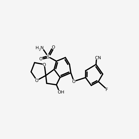 N#Cc1cc(F)cc(Oc2ccc(S(N)(=O)=O)c3c2C(O)CC32OCCO2)c1